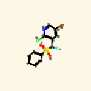 O=S(=O)(c1ccccc1)C(F)c1cc(Br)cnc1Cl